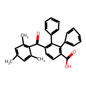 Cc1cc(C)c(C(=O)c2ccc(C(=O)O)c(-c3ccccc3)c2-c2ccccc2)c(C)c1